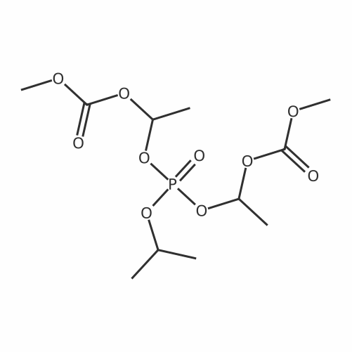 COC(=O)OC(C)OP(=O)(OC(C)C)OC(C)OC(=O)OC